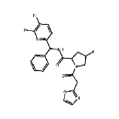 CC(C)c1ccc(C(NC(=O)C2CC(F)CN2C(=O)Cc2ncco2)c2ccccc2)nc1F